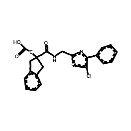 O=C(O)CC1(C(=O)NCc2nc(-c3ccccc3)c(Cl)s2)Cc2ccccc2C1